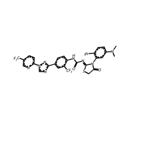 CC(C)c1ccc(N(C)C)cc1N1C(=O)CS/C1=N\C(=O)Nc1ccc(-c2ncn(-c3ccc(C(F)(F)F)cn3)n2)cc1C(F)(F)F